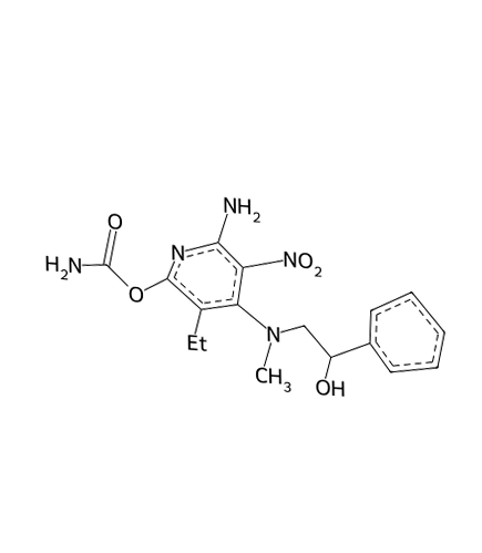 CCc1c(OC(N)=O)nc(N)c([N+](=O)[O-])c1N(C)CC(O)c1ccccc1